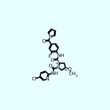 CO[C@@H]1C[C@H](C(=O)Nc2ccc(C(=O)n3cccc3)cc2F)N(C(=O)Nc2ccc(Cl)cn2)C1